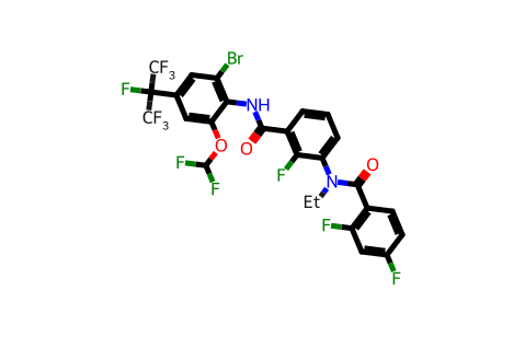 CCN(C(=O)c1ccc(F)cc1F)c1cccc(C(=O)Nc2c(Br)cc(C(F)(C(F)(F)F)C(F)(F)F)cc2OC(F)F)c1F